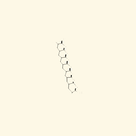 C=C1N=C2N=C3N=C4N=C5N=C6N=C7N=C(C)C(C)CC7CC6CC5CC4CC3CC2CC1CC